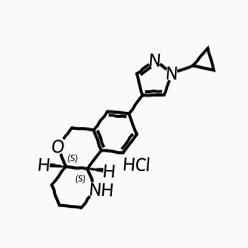 Cl.c1cc2c(cc1-c1cnn(C3CC3)c1)CO[C@H]1CCCN[C@@H]21